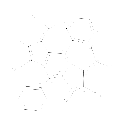 N#CC(C#N)=C1C(F)=C(C#N)c2c1c(-c1ccccc1)c1c(c2-c2ccccn2)C(C#N)=C(F)C1=C(C#N)C#N